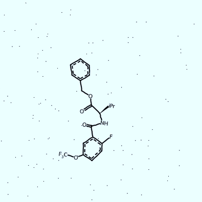 CC(C)[C@@H](NC(=O)c1cc(OC(F)(F)F)ccc1F)C(=O)OCc1ccccc1